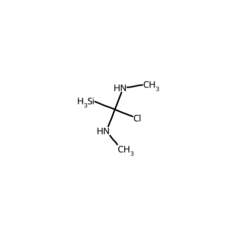 CNC([SiH3])(Cl)NC